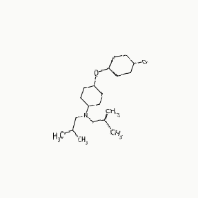 CC(C)CN(CC(C)C)C1CCC(OC2CCC([O])CC2)CC1